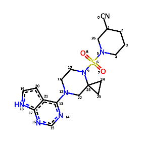 N#CC1CCCN(S(=O)(=O)N2CCN(c3ncnc4[nH]ccc34)CC23CC3)C1